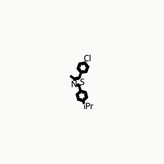 Cc1nc(-c2ccc(C(C)C)cc2)sc1-c1ccc(Cl)cc1